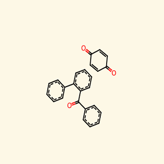 O=C(c1ccccc1)c1ccccc1-c1ccccc1.O=C1C=CC(=O)C=C1